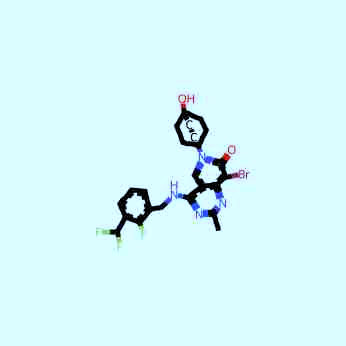 Cc1nc(NCc2cccc(C(F)F)c2F)c2cn(C34CCC(O)(CC3)CC4)c(=O)c(Br)c2n1